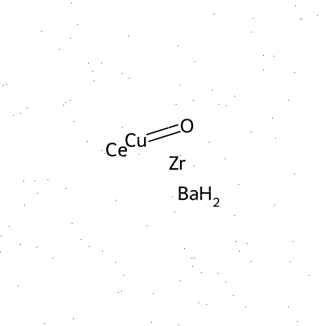 [BaH2].[Ce].[O]=[Cu].[Zr]